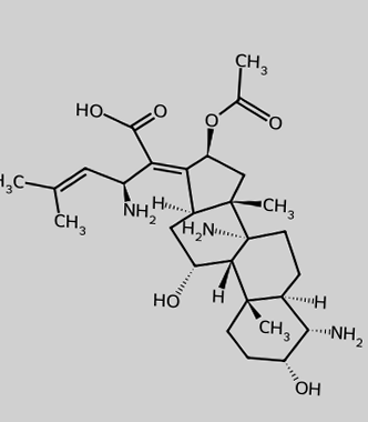 CC(=O)O[C@H]1C[C@@]2(C)[C@@H](C[C@@H](O)[C@H]3[C@@]4(C)CC[C@@H](O)[C@@H](N)[C@@H]4CC[C@@]32N)/C1=C(/C(=O)O)[C@@H](N)C=C(C)C